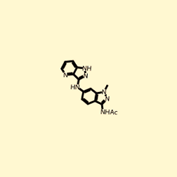 CC(=O)Nc1nn(C)c2cc(Nc3n[nH]c4cccnc34)ccc12